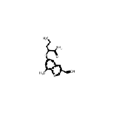 C#Cc1cnc2c(C)cc(OC(CCC)C(N)=O)cc2c1